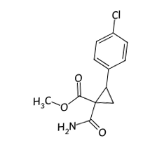 COC(=O)C1(C(N)=O)CC1c1ccc(Cl)cc1